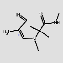 CNC(=O)C(C)(C)N(C)/C=C(/N)C=N